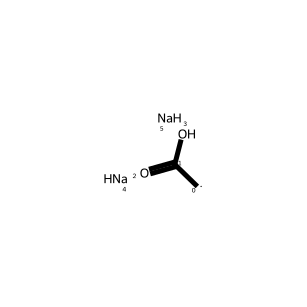 [CH2]C(=O)O.[NaH].[NaH]